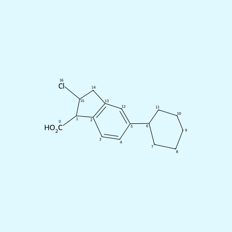 O=C(O)C1c2ccc(C3CCCCC3)cc2CC1Cl